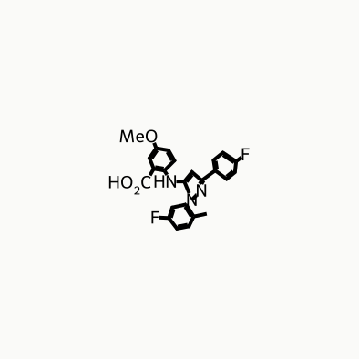 COc1ccc(Nc2cc(-c3ccc(F)cc3)nn2-c2cc(F)ccc2C)c(C(=O)O)c1